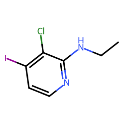 CCNc1nccc(I)c1Cl